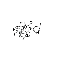 O=C1CC[C@@H](C(=O)N(c2cncc(F)c2)[C@@]2(C(=O)C3CC(F)(F)C3)CCc3ccccc32)N1c1cnccn1